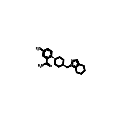 NC(=O)c1cc(C(F)(F)F)ccc1[C@H]1CC[C@H](Cn2ncc3c2CCCC3)CC1